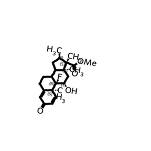 COC(=O)[C@@]1(C)[C@H](C)CC2C3CCC4=CC(=O)C=C[C@]4(C)[C@@]3(F)[C@@H](O)C[C@@]21C